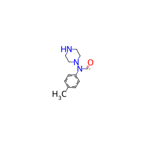 Cc1ccc(N([C]=O)N2CCNCC2)cc1